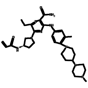 C=CC(=O)N[C@H]1CCN(c2nc(Nc3ccc(N4CCC(N5CCN(C)CC5)CC4)c(C)c3)c(C(N)=O)nc2CC)C1